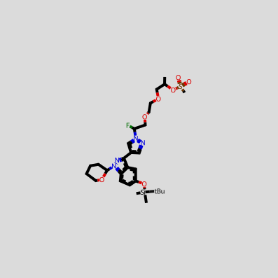 CC(COCCOCC(F)n1cc(-c2nn(C3CCCCO3)c3ccc(O[Si](C)(C)C(C)(C)C)cc23)cn1)OS(C)(=O)=O